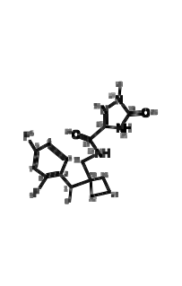 CC(c1ccc(F)cc1F)C1(CNC(=O)c2nn(C)c(=O)[nH]2)CCC1